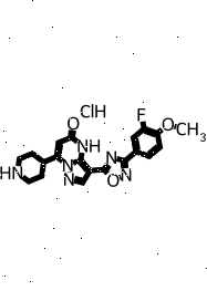 COc1ccc(-c2noc(-c3cnn4c(C5CCNCC5)cc(=O)[nH]c34)n2)cc1F.Cl